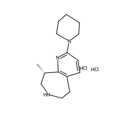 C[C@H]1CNCCc2ccc(N3CCCCC3)nc21.Cl.Cl